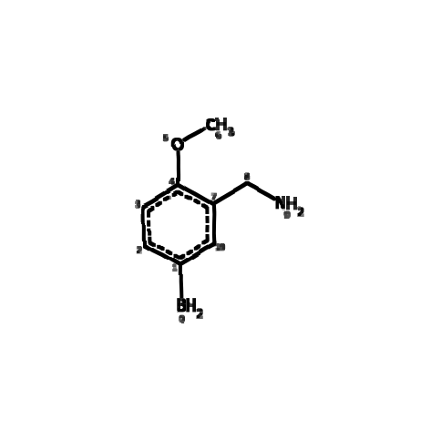 Bc1ccc(OC)c(CN)c1